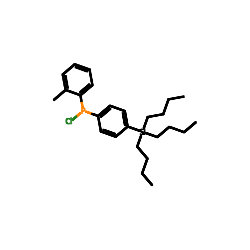 CCCC[Si](CCCC)(CCCC)c1ccc(P(Cl)c2ccccc2C)cc1